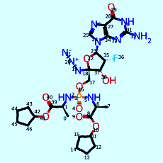 C[C@H](NP(=O)(N[C@@H](C)C(=O)OC1CCCC1)OC[C@@]1(N=[N+]=[N-])O[C@@H](n2cnc3c(=O)[nH]c(N)nc32)[C@H](F)[C@@H]1O)C(=O)OC1CCCC1